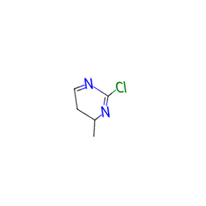 CC1CC=NC(Cl)=N1